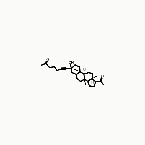 CC(=O)CCCC#CC1(O)CC[C@@]2(C)C(CC[C@H]3[C@@H]4CC[C@H](C(C)=O)[C@@]4(C)CC[C@@H]32)C1